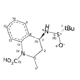 CC1C[C@H](N[S@@+]([O-])C(C)(C)C)c2ccccc2N1C(=O)O